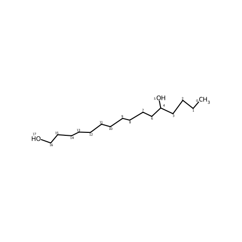 CCCCC(O)CCCCCCCCCCCO